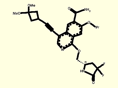 COC1(OC)CC(C#Cc2cnc(OC[C@@H]3CC(F)(F)C(=O)N3)c3cc(OC(C)C)c(C(N)=O)cc23)C1